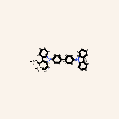 C=Cc1c2c(n(-c3ccc(-c4ccc(-n5c6ccccc6c6ccccc65)cc4)cc3)c1/C=C\C)CCC=C2